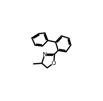 CC1COC(c2ccccc2-c2ccccc2)=N1